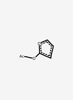 CC(=O)Oc1[c]cco1